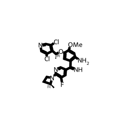 COc1cc(N)c(C(=N)c2cnc(N3CC[C@@H]3C)c(F)c2)cc1O[C@H](C)c1c(Cl)cncc1Cl